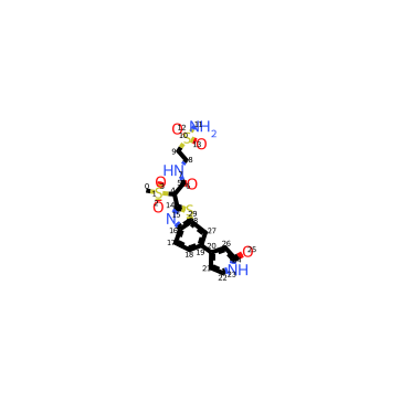 CS(=O)(=O)C(C(=O)NCCS(N)(=O)=O)c1nc2ccc(-c3cc[nH]c(=O)c3)cc2s1